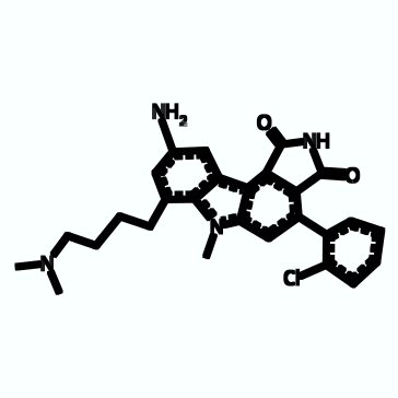 CN(C)CCCCc1cc(N)cc2c3c4c(c(-c5ccccc5Cl)cc3n(C)c12)C(=O)NC4=O